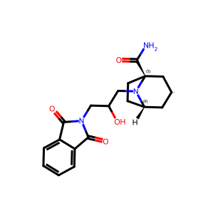 NC(=O)[C@]12C[CH]C[C@H](CC1)N2CC(O)CN1C(=O)c2ccccc2C1=O